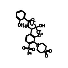 CC(C)S(=O)(=O)c1ccc(C(NC(=O)c2ccccc2O)C(C)(O)C(F)(F)F)c(Cl)c1N1CCS(=O)(=O)CC1